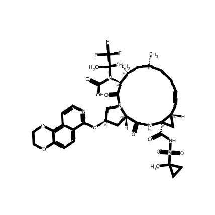 C[C@@H]1CCC=C[C@@H]2C[C@@]2(C(=O)NS(=O)(=O)C2(C)CC2)NC(=O)[C@@H]2C[C@@H](Oc3nccc4c5c(ccc34)OCCO5)CN2C(=O)[C@@H](N(C(=O)O)C(C)(C)C(F)(F)F)[C@H](C)C1